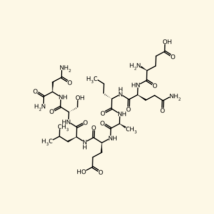 CCC[C@H](NC(=O)[C@H](CCC(N)=O)NC(=O)[C@@H](N)CCC(=O)O)C(=O)N[C@@H](C)C(=O)N[C@@H](CCC(=O)O)C(=O)N[C@@H](CC(C)C)C(=O)N[C@@H](CO)C(=O)N[C@H](CC(N)=O)C(N)=O